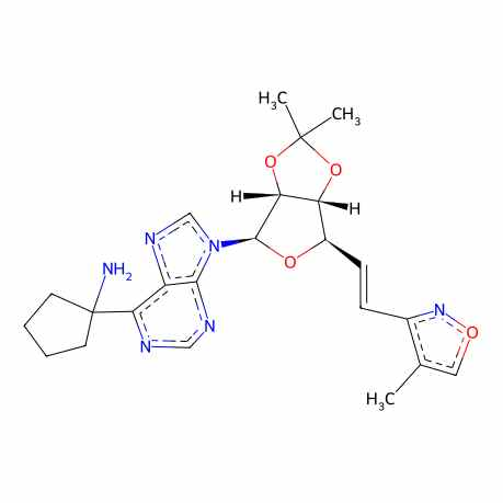 Cc1conc1C=C[C@H]1O[C@@H](n2cnc3c(C4(N)CCCC4)ncnc32)[C@@H]2OC(C)(C)O[C@@H]21